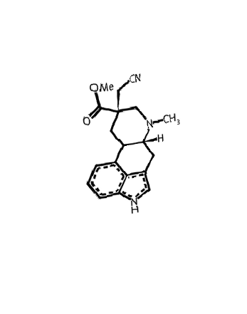 COC(=O)[C@@]1(CC#N)CC2c3cccc4[nH]cc(c34)C[C@H]2N(C)C1